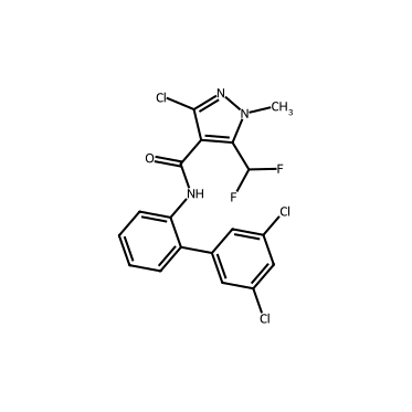 Cn1nc(Cl)c(C(=O)Nc2ccccc2-c2cc(Cl)cc(Cl)c2)c1C(F)F